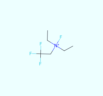 CC[N+](F)(CC)CC(F)(F)F